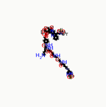 CC[C@@]1(OC(=O)OCc2ccc(NC(=O)[C@H](CCCCN)NC(=O)COCC(=O)NCCOCCNC(=O)CCC/C=C/c3cnc(S(C)(=O)=O)nc3)cc2)C(=O)OCc2c1cc1n(c2=O)Cc2c-1nc1ccccc1c2CCN(C(C)C)S(C)(=O)=O